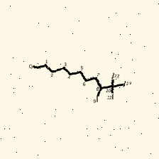 CCCCCCCCC(I)C(I)(I)I